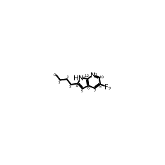 CCCCc1cc2cc(F)cnc2[nH]1